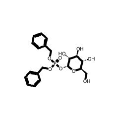 O=P(OCc1ccccc1)(OCc1ccccc1)O[C@H]1O[C@H](CO)[C@@H](O)[C@H](O)[C@H]1O